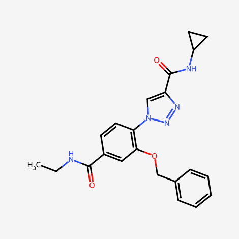 CCNC(=O)c1ccc(-n2cc(C(=O)NC3CC3)nn2)c(OCc2ccccc2)c1